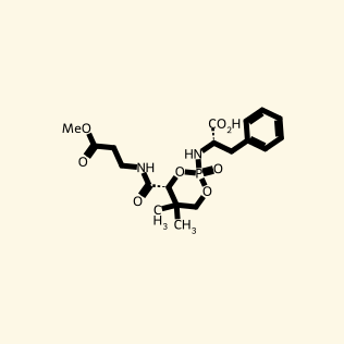 COC(=O)CCNC(=O)[C@@H]1OP(=O)(N[C@@H](Cc2ccccc2)C(=O)O)OCC1(C)C